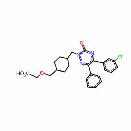 O=C(O)COCC1CCC(Cn2nc(-c3ccccc3)c(-c3cccc(Cl)c3)nc2=O)CC1